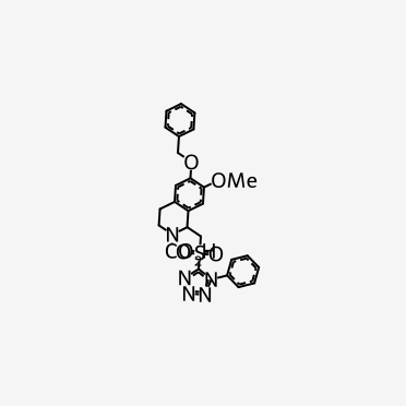 COc1cc2c(cc1OCc1ccccc1)CCN(C(=O)O)C2CS(=O)(=O)c1nnnn1-c1ccccc1